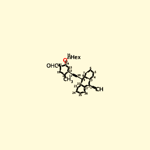 C#Cc1c2ccccc2c(C#Cc2cc(OCCCCCC)c(C=O)cc2C)c2ccccc12